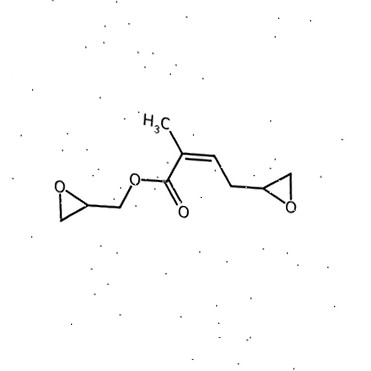 CC(=CCC1CO1)C(=O)OCC1CO1